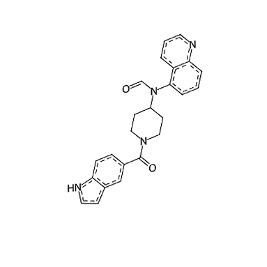 O=CN(c1cccc2ncccc12)C1CCN(C(=O)c2ccc3[nH]ccc3c2)CC1